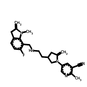 C=C1Cc2ccc(F)c(CNCCC3CC(=C)N(c4cnc(C)c(C#N)c4)C3)c2N1C